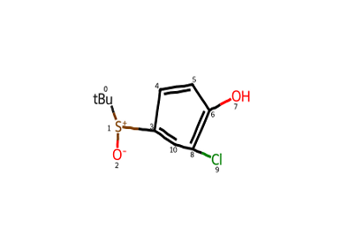 CC(C)(C)[S+]([O-])c1ccc(O)c(Cl)c1